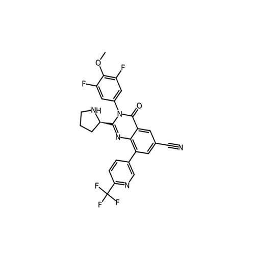 COc1c(F)cc(-n2c([C@H]3CCCN3)nc3c(-c4ccc(C(F)(F)F)nc4)cc(C#N)cc3c2=O)cc1F